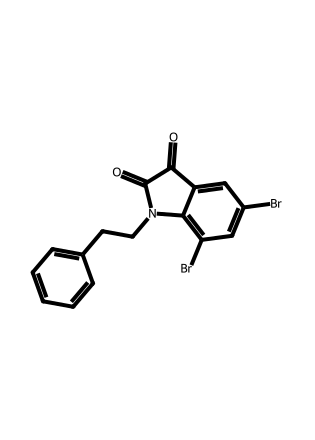 O=C1C(=O)N(CCc2ccccc2)c2c(Br)cc(Br)cc21